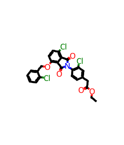 CCOC(=O)Cc1ccc(N2C(=O)c3c(Cl)ccc(OCc4ccccc4Cl)c3C2=O)c(Cl)c1